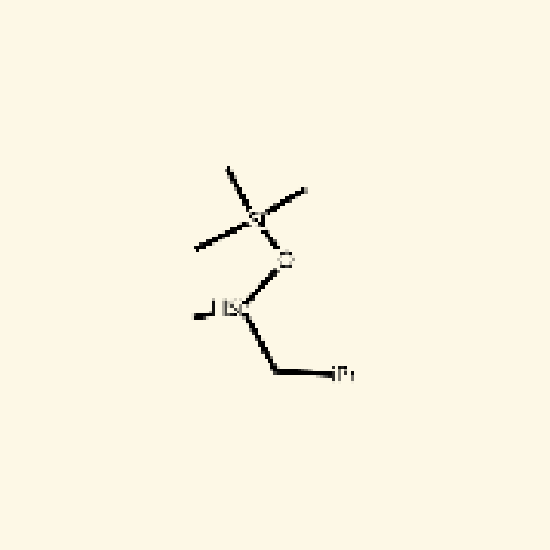 CC(C)C[SiH](C)O[Si](C)(C)C